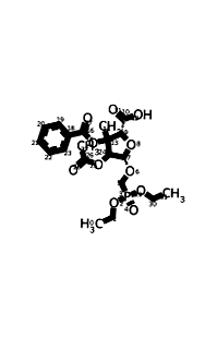 CCOP(=O)(CO[C@H]1O[C@@H](C(=O)O)C(C)(OC(=O)c2ccccc2)C1OC(C)=O)OCC